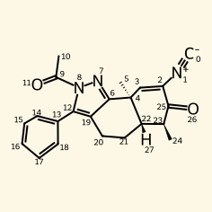 [C-]#[N+]C1=C[C@]2(C)c3nn(C(C)=O)c(-c4ccccc4)c3CC[C@H]2[C@H](C)C1=O